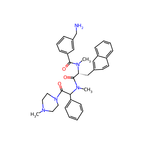 CN1CCN(C(=O)C(c2ccccc2)N(C)C(=O)[C@@H](Cc2ccc3ccccc3c2)N(C)C(=O)c2cccc(CN)c2)CC1